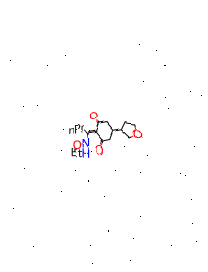 CCCC(NOCC)=C1C(=O)CC(C2CCOC2)CC1=O